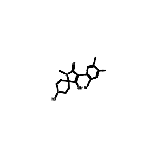 Cc1cc(Br)c(C2=C(O)C3(CCN(O)CC3)N(C)C2=O)cc1C